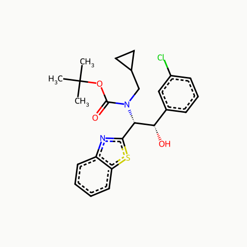 CC(C)(C)OC(=O)N(CC1CC1)[C@@H](c1nc2ccccc2s1)[C@@H](O)c1cccc(Cl)c1